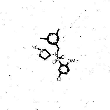 COc1ccc(Cl)cc1S(=O)(=O)N(Cc1cc(C)cc(C)c1)[C@@H]1CCN(C#N)C1